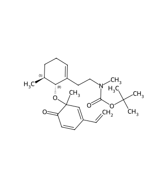 C=CC1=CC(C)(O[C@H]2C(CCN(C)C(=O)OC(C)(C)C)=CCC[C@@H]2C)C(=O)C=C1